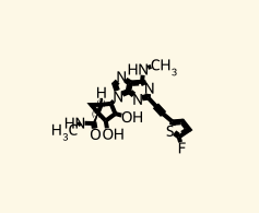 CNC(=O)[C@@]12C[C@@H]1C(n1cnc3c(NC)nc(C#Cc4ccc(F)s4)nc31)C(O)C2O